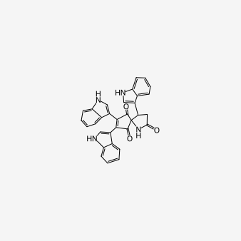 O=C1CC(c2c[nH]c3ccccc23)C2(N1)C(=O)C(c1c[nH]c3ccccc13)=C(c1c[nH]c3ccccc13)C2=O